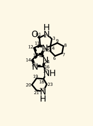 O=C1NCC2(CCCCC2)n2c1cc1cnc(NC3CCCNC3)nc12